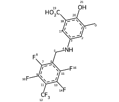 Cc1cc(NCc2c(F)c(F)c(C(F)(F)F)c(F)c2F)cc(C(=O)O)c1O